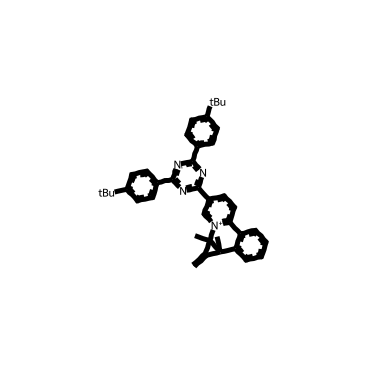 C=C1C2(C)c3ccccc3-c3ccc(-c4nc(-c5ccc(C(C)(C)C)cc5)nc(-c5ccc(C(C)(C)C)cc5)n4)c[n+]3C12C